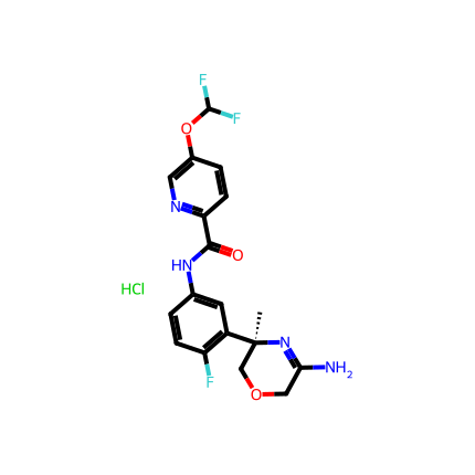 C[C@@]1(c2cc(NC(=O)c3ccc(OC(F)F)cn3)ccc2F)COCC(N)=N1.Cl